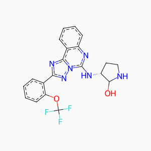 OC1NCC[C@H]1Nc1nc2ccccc2c2nc(-c3ccccc3OC(F)(F)F)nn12